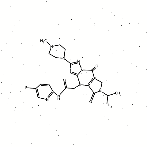 CC(C)N1Cc2c(n(CC(=O)Nc3ccc(F)cn3)c3cc(N4CCN(C)CC4)nn3c2=O)C1=O